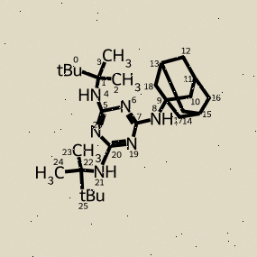 CC(C)(C)C(C)(C)Nc1nc(NC23CC4CC(CC(C4)C2)C3)nc(NC(C)(C)C(C)(C)C)n1